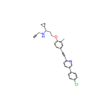 C#CCNC(CCOc1ccc(C#Cc2ccc(-c3ccc(Cl)cc3)cn2)cc1C)C1CC1